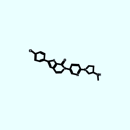 CNC1CCN(c2ccc(-n3ccc4cc(-c5ccc(Cl)cc5)sc4c3=O)cn2)C1